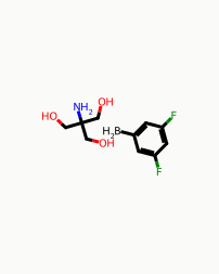 Bc1cc(F)cc(F)c1.NC(CO)(CO)CO